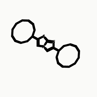 c1c(C2CCCCCCCCCC2)nc2sc(C3CCCCCCCCCC3)cn12